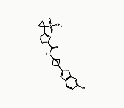 CS(=O)(=O)C1(c2nc(C(=O)NC34CC(c5nc6ccc(Br)cc6s5)(C3)C4)no2)CC1